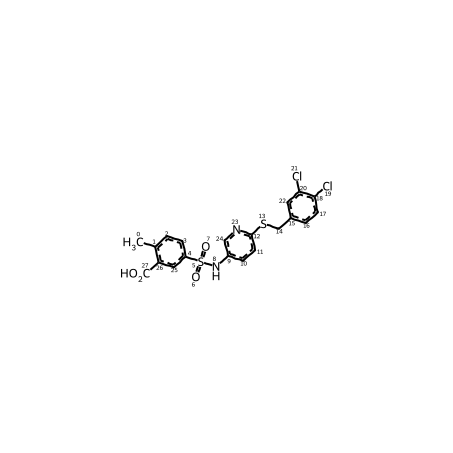 Cc1ccc(S(=O)(=O)Nc2ccc(SCc3ccc(Cl)c(Cl)c3)nc2)cc1C(=O)O